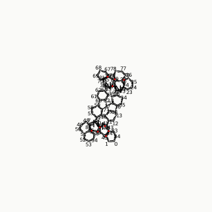 c1ccc(N(c2ccccc2)c2ccc3c(c2)C2(c4cc(N(c5ccccc5)c5ccccc5)ccc4-3)c3cc(N(c4ccccc4)c4cccc5ccccc45)ccc3-c3ccc(N(c4ccccc4)c4cccc5ccccc45)cc32)cc1